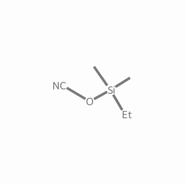 CC[Si](C)(C)OC#N